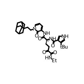 CCNC(=O)C(=O)CC[C@H](NC(=O)c1c[nH]cc1C(C)(C)C)C(=O)Nc1cccn(CCC23CC4CC(CC(C4)C2)C3)c1=O